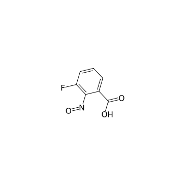 O=Nc1c(F)cccc1C(=O)O